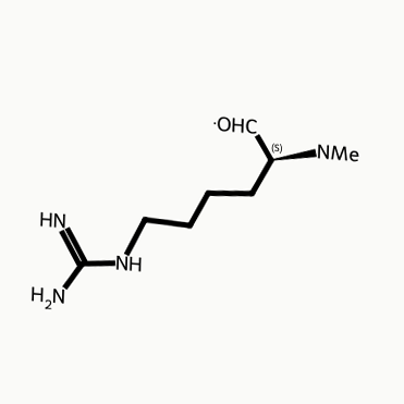 CN[C@H]([C]=O)CCCCNC(=N)N